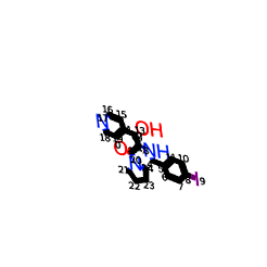 O=C([C@H](NCc1ccc(I)cc1)[C@@H](O)c1ccncc1)N1CCCC1